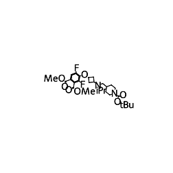 COC(=O)c1cc(F)c(O[C@H]2C[C@H](N(CC3CCN(C(=O)OC(C)(C)C)CC3)C(C)C)C2)c(F)c1C(=O)OC